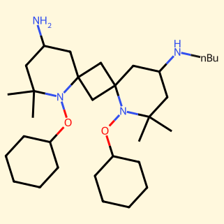 CCCCNC1CC(C)(C)N(OC2CCCCC2)C2(C1)CC1(CC(N)CC(C)(C)N1OC1CCCCC1)C2